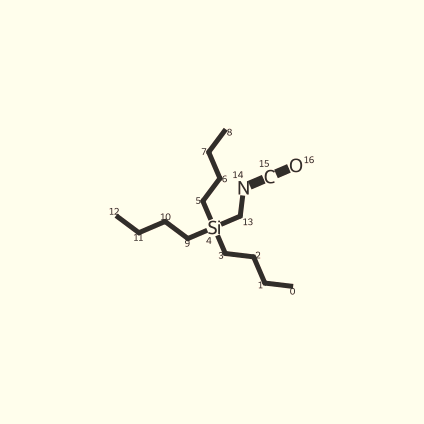 CCCC[Si](CCCC)(CCCC)CN=C=O